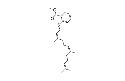 COC(=O)c1ccccc1SCC=C(C)CCC=C(C)CCC=C(C)C